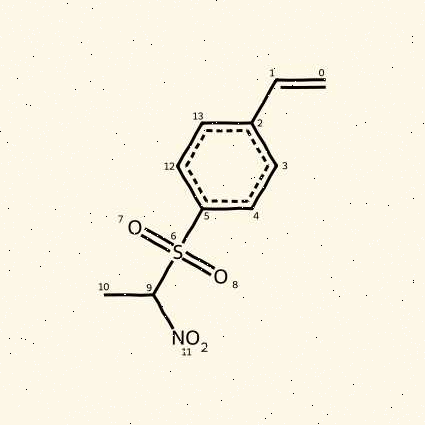 C=Cc1ccc(S(=O)(=O)C(C)[N+](=O)[O-])cc1